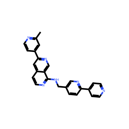 Cc1cc(-c2cc3ccnc(NCc4ccc(-c5ccncc5)nc4)c3cn2)ccn1